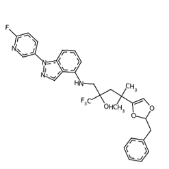 CC(C)(CC(O)(CNc1cccc2c1cnn2-c1ccc(F)nc1)C(F)(F)F)C1=COC(Cc2ccccc2)O1